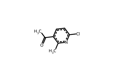 CC(=O)c1ccc(Cl)nc1C